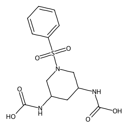 O=C(O)NC1CC(NC(=O)O)CN(S(=O)(=O)c2ccccc2)C1